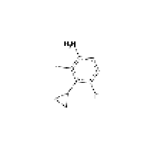 Nc1ccc(F)c(C2CC2)c1F